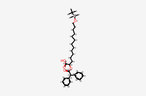 CC(C)(C)[Si](C)(C)OCCCCCCCCCCCCC(OC(=O)C(c1ccccc1)c1ccccc1)C(=O)O